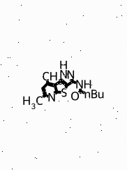 CCCCC(=O)Nc1n[nH]c2c1sc1nc(C)cc(C)c12